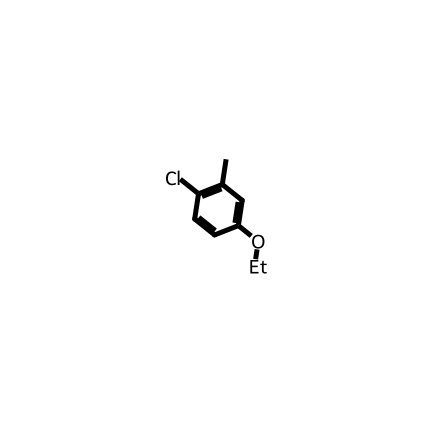 [CH2]COc1ccc(Cl)c(C)c1